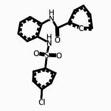 O=C(Nc1ccccc1NS(=O)(=O)c1ccc(Cl)cc1)c1ccccc1